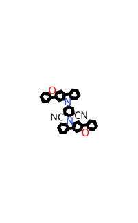 N#Cc1cc(-n2c3ccccc3c3cc4oc5ccccc5c4cc32)cc(C#N)c1-n1c2ccccc2c2cc3oc4ccccc4c3cc21